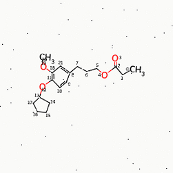 CCC(=O)OCCCc1ccc(OC2CCCC2)c(OC)c1